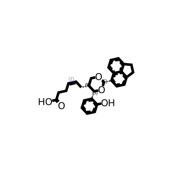 O=C(O)CC/C=C\C[C@@H]1CO[C@H](c2ccc3c4c(cccc24)CC3)O[C@@H]1c1ccccc1O